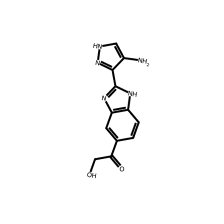 Nc1c[nH]nc1-c1nc2cc(C(=O)CO)ccc2[nH]1